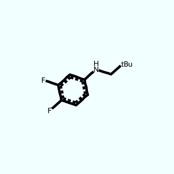 CC(C)(C)CNc1ccc(F)c(F)c1